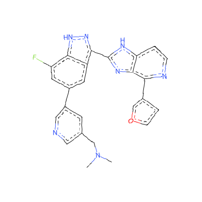 CN(C)Cc1cncc(-c2cc(F)c3[nH]nc(-c4nc5c(-c6ccoc6)nccc5[nH]4)c3c2)c1